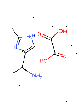 Cc1nc(C(C)N)c[nH]1.O=C(O)C(=O)O